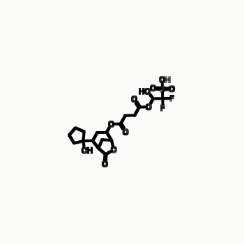 O=C(CCC(=O)OC(O)C(F)(F)S(=O)(=O)O)OC1CC(C2(O)CCCC2)C2CC1OC2=O